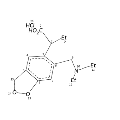 CCC(C(=O)O)c1cc2c(cc1CN(CC)CC)OOC2.Cl